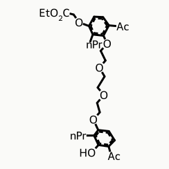 CCCc1c(OCCOCCOCCOc2c(C(C)=O)ccc(OCC(=O)OCC)c2CCC)ccc(C(C)=O)c1O